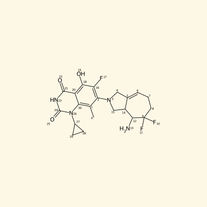 Cc1c(N2CC3=CCCC(F)(F)C(N)C3C2)c(F)c(O)c2c(=O)[nH]c(=O)n(C3CC3)c12